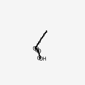 CCCCCCCCCCCCCCCCCC(=O)OOC(=O)CCCCC(=O)O